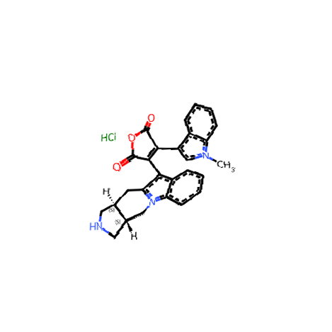 Cl.Cn1cc(C2=C(c3c4n(c5ccccc35)C[C@@H]3CNC[C@H]3C4)C(=O)OC2=O)c2ccccc21